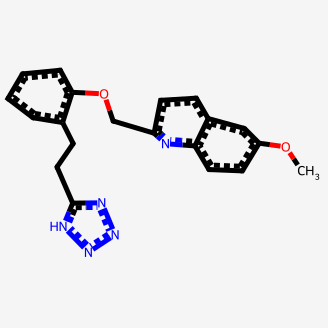 COc1ccc2nc(COc3ccccc3CCc3nnn[nH]3)ccc2c1